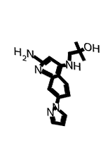 CC(C)(O)CNc1cc(N)nc2cc(-n3cccn3)ccc12